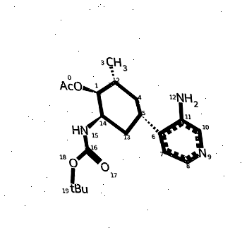 CC(=O)O[C@H]1[C@H](C)C[C@H](c2ccncc2N)C[C@H]1NC(=O)OC(C)(C)C